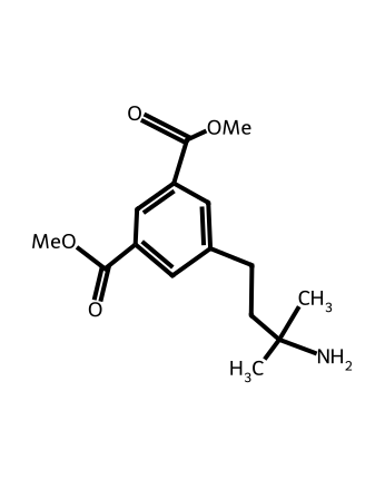 COC(=O)c1cc(CCC(C)(C)N)cc(C(=O)OC)c1